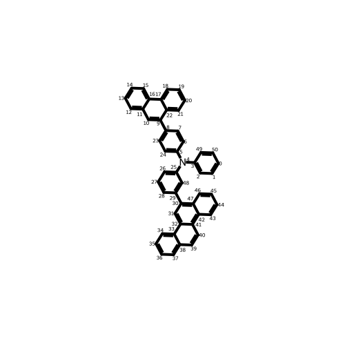 c1ccc(N(c2ccc(-c3cc4ccccc4c4ccccc34)cc2)c2cccc(-c3cc4c5ccccc5ccc4c4ccccc34)c2)cc1